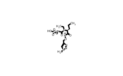 CCC[C@@H](C(=O)NOCc1cn(C)nn1)N(CC)C(=O)NOS(=O)(=O)O